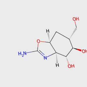 NC1=N[C@@H]2[C@@H](O)[C@H](O)[C@@H](CO)C[C@@H]2O1